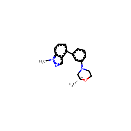 C[C@@H]1CN(c2cccc(-c3cccc4c3cnn4C)c2)CCO1